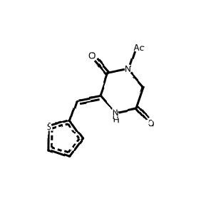 CC(=O)N1CC(=O)N/C(=C\c2cccs2)C1=O